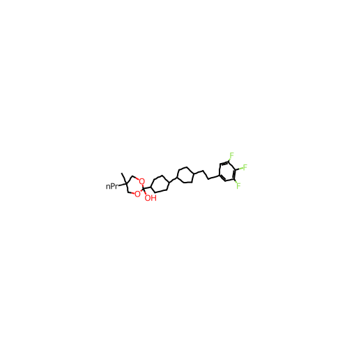 CCCC1(C)COC(O)(C2CCC(C3CCC(CCc4cc(F)c(F)c(F)c4)CC3)CC2)OC1